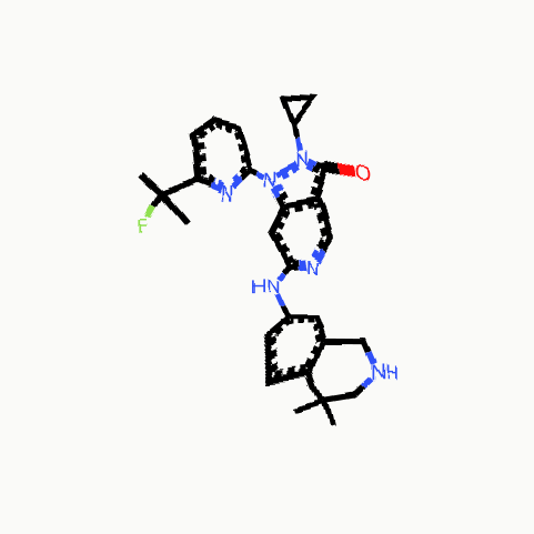 CC(C)(F)c1cccc(-n2c3cc(Nc4ccc5c(c4)CNCC5(C)C)ncc3c(=O)n2C2CC2)n1